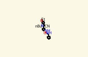 CCCCn1c(-c2cccc(NC(=O)NCCc3ccccc3)c2)c(C#N)c2ccc(OCC)cc21